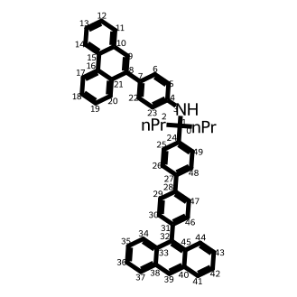 CCCC(CCC)(Nc1ccc(-c2cc3ccccc3c3ccccc23)cc1)c1ccc(-c2ccc(-c3c4ccccc4cc4ccccc34)cc2)cc1